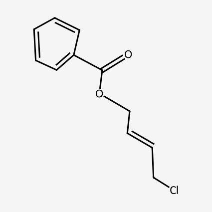 O=C(OC/C=C/CCl)c1ccccc1